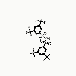 CC(C)(C)c1cc(C(C)(C)C)cc(S(=O)(=O)NS(=O)(=O)c2cc(C(F)(F)F)cc(C(F)(F)F)c2)c1